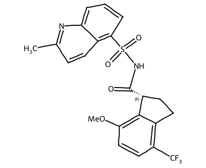 COc1ccc(C(F)(F)F)c2c1[C@H](C(=O)NS(=O)(=O)c1cccc3nc(C)ccc13)CC2